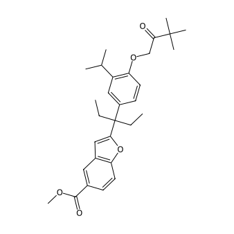 CCC(CC)(c1ccc(OCC(=O)C(C)(C)C)c(C(C)C)c1)c1cc2cc(C(=O)OC)ccc2o1